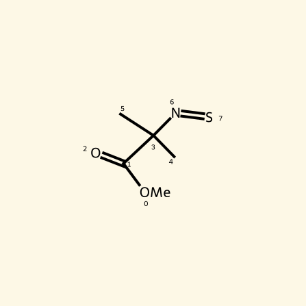 COC(=O)C(C)(C)N=S